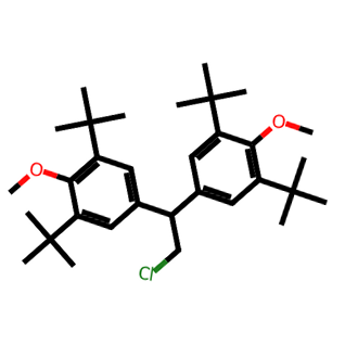 COc1c(C(C)(C)C)cc(C(CCl)c2cc(C(C)(C)C)c(OC)c(C(C)(C)C)c2)cc1C(C)(C)C